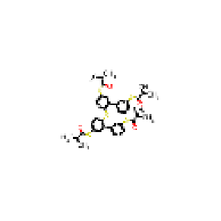 C=C(C)C(=O)Sc1cccc(-c2cc(SC(=O)C(=C)C)ccc2Sc2ccc(SC(=O)C(=C)C)cc2-c2cccc(SC(=O)C(=C)C)c2)c1